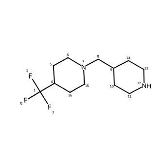 FC(F)(F)C1CCN(CC2CCNCC2)CC1